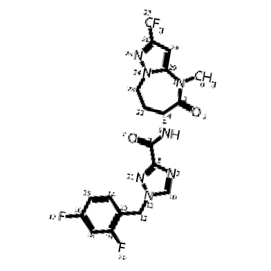 CN1C(=O)[C@H](NC(=O)c2ncn(Cc3ccc(F)cc3F)n2)CCn2nc(C(F)(F)F)cc21